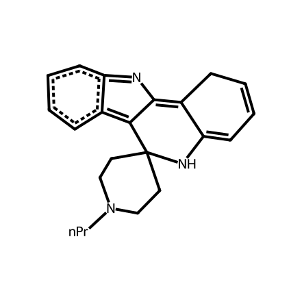 CCCN1CCC2(CC1)NC1=CC=CCC1=C1N=c3ccccc3=C12